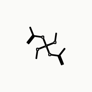 C=C(C)O[Si](OC)(OC)OC(=C)C